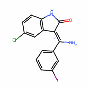 N/C(=C1\C(=O)Nc2ccc(Cl)cc21)c1cccc(I)c1